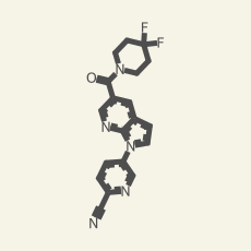 N#Cc1ccc(-n2ccc3cc(C(=O)N4CCC(F)(F)CC4)cnc32)cn1